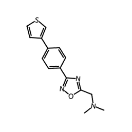 CN(C)Cc1nc(-c2ccc(-c3ccsc3)cc2)no1